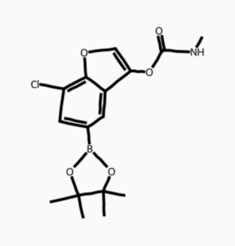 CNC(=O)Oc1coc2c(Cl)cc(B3OC(C)(C)C(C)(C)O3)cc12